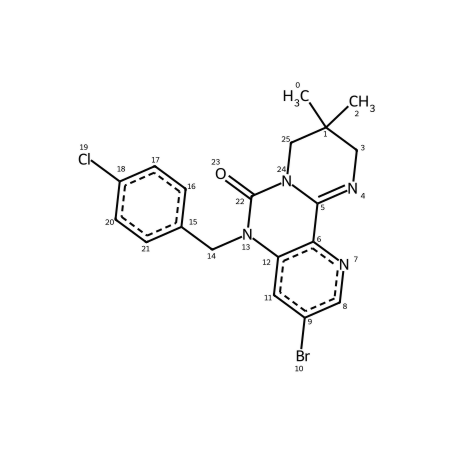 CC1(C)CN=C2c3ncc(Br)cc3N(Cc3ccc(Cl)cc3)C(=O)N2C1